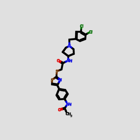 CC(=O)Nc1ccc(-c2csc(SCC(=O)NC3CCN(Cc4ccc(Cl)c(Cl)c4)CC3)n2)cc1